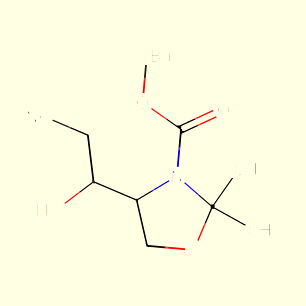 CC(C)(C)OC(=O)N1C(C(O)CC#N)COC1(C)C